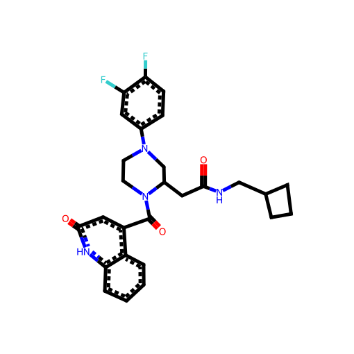 O=C(CC1CN(c2ccc(F)c(F)c2)CCN1C(=O)c1cc(=O)[nH]c2ccccc12)NCC1CCC1